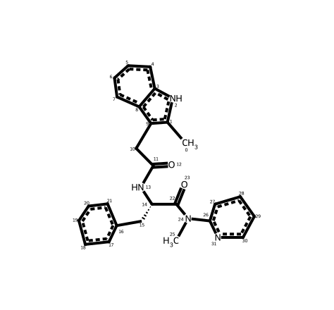 Cc1[nH]c2ccccc2c1CC(=O)N[C@@H](Cc1ccccc1)C(=O)N(C)c1ccccn1